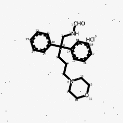 Cl.O=CNCC(CCCN1CCOCC1)(c1ccccc1)c1ccccc1